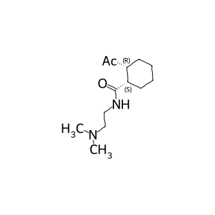 CC(=O)[C@@H]1CCCC[C@@H]1C(=O)NCCN(C)C